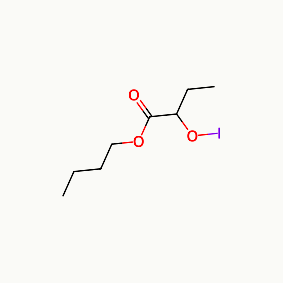 CCCCOC(=O)C(CC)OI